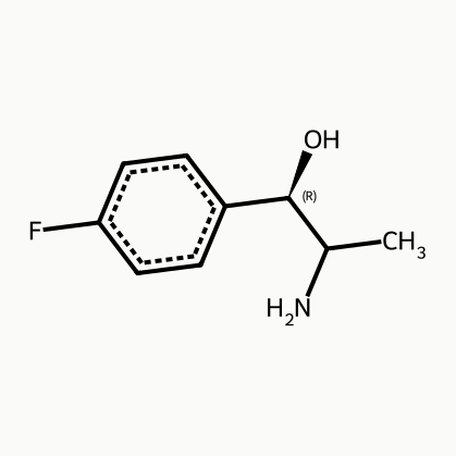 CC(N)[C@H](O)c1ccc(F)cc1